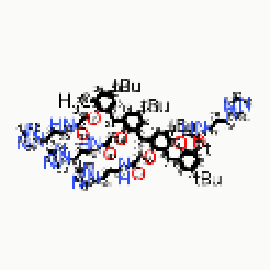 CCc1cc(C(C)(C)C)cc(Cc2cc(C(C)(C)C)cc(Cc3cc(C(C)(C)C)cc(Cc4cc(C(C)(C)C)cc(C)c4OCC(=O)NCCCn4cncn4)c3OCC(=O)NCCCn3cncn3)c2OCC(=O)NCCCn2cncn2)c1OCC(=O)NCCCn1cncn1